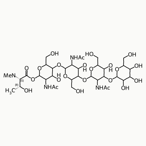 CN[C@H](C(=O)OC1OC(CO)C(OC2OC(CO)C(OC3OC(CO)C(O)C(OC4OC(CO)C(O)C(O)C4O)C3NC(C)=O)C(O)C2NC(C)=O)C(O)C1NC(C)=O)[C@@H](C)O